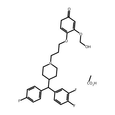 CC(=O)O.O=C1C=C(OCO)C(OCCCN2CCC(C(c3ccc(F)cc3)c3ccc(F)c(F)c3)CC2)=CC1